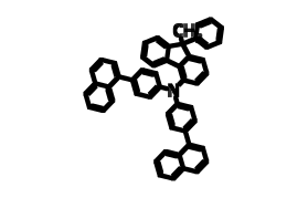 CC1(c2ccccc2)c2ccccc2-c2c(N(c3ccc(-c4cccc5ccccc45)cc3)c3ccc(-c4cccc5ccccc45)cc3)cccc21